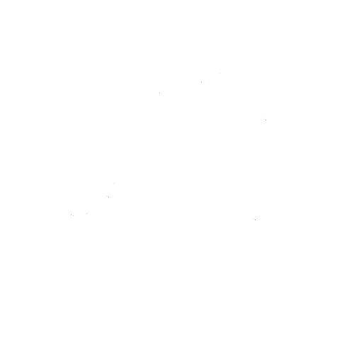 Cn1c2ccncc2c2ccc(-c3ccc(OC4CC(OC5CCN(c6cc(C#CCOc7ccc8c(c7)CN(C7CCC(=O)NC7=O)C8=O)cc(C(F)(F)F)c6)CC5)C4)nc3)cc21